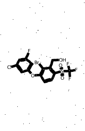 O=S(=O)(c1ccc(Oc2cc(F)cc(Cl)c2)c(Br)c1CO)C(F)(F)F